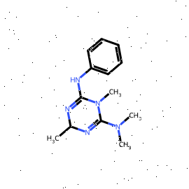 CC1N=C(Nc2ccccc2)N(C)C(N(C)C)=N1